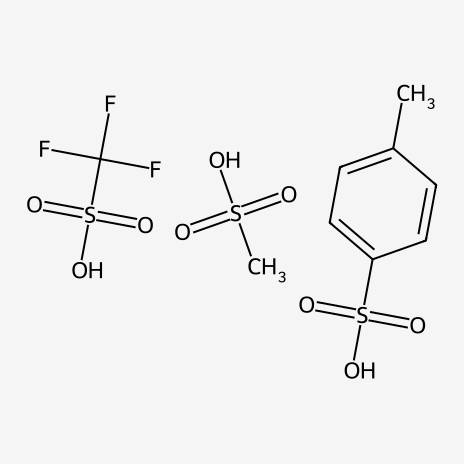 CS(=O)(=O)O.Cc1ccc(S(=O)(=O)O)cc1.O=S(=O)(O)C(F)(F)F